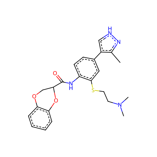 Cc1n[nH]cc1-c1ccc(NC(=O)C2COc3ccccc3O2)c(SCCN(C)C)c1